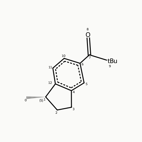 C[C@H]1CCc2cc(C(=O)C(C)(C)C)ccc21